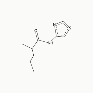 CCCC(C)C(=O)Nc1cscn1